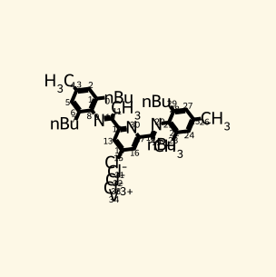 CCCCc1cc(C)cc(CCCC)c1N=C(C)c1cc(Cl)cc(C(C)=Nc2c(CCCC)cc(C)cc2CCCC)n1.[Cl-].[Cl-].[Cl-].[V+3]